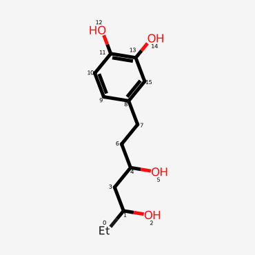 CCC(O)CC(O)CCc1ccc(O)c(O)c1